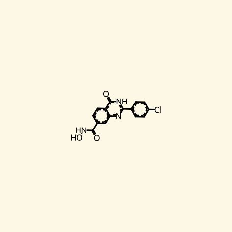 O=C(NO)c1ccc2c(=O)[nH]c(-c3ccc(Cl)cc3)nc2c1